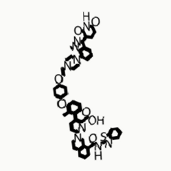 Cc1c(OC2CCC(OCCN3CCN(c4cccc5c(C6CCC(=O)NC6=O)nn(C)c45)CC3)CC2)cccc1-c1ccc(N2CCc3cccc(C(=O)Nc4nc5ccccc5s4)c3C2)nc1C(=O)O